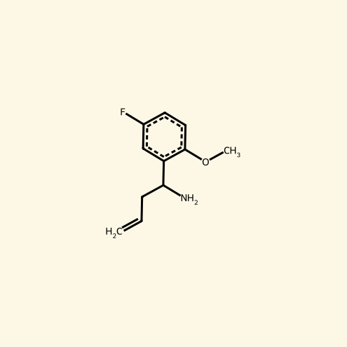 C=CCC(N)c1cc(F)ccc1OC